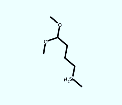 COC(CCC[SiH2]C)OC